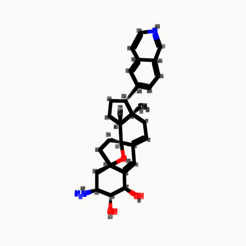 C[C@]12CC=C3C=C4[C@@H](O)[C@H](O)[C@@H](N)C[C@]45CC[C@]3(O5)[C@@H]1CC[C@@H]2c1ccc2cnccc2c1